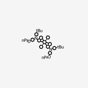 CCCOc1ccc(N(c2ccc(C(C)(C)C)cc2)c2ccc3c4c(-c5ccccc5)c5c6ccc(N(c7ccc(OCCC)cc7)c7ccc(C(C)(C)C)cc7)c7cccc(c5c(-c5ccccc5)c4c4cccc2c43)c76)cc1